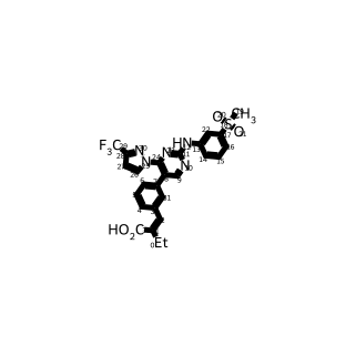 CCC(=Cc1cccc(-c2cnc(Nc3cccc(S(C)(=O)=O)c3)nc2-n2ccc(C(F)(F)F)n2)c1)C(=O)O